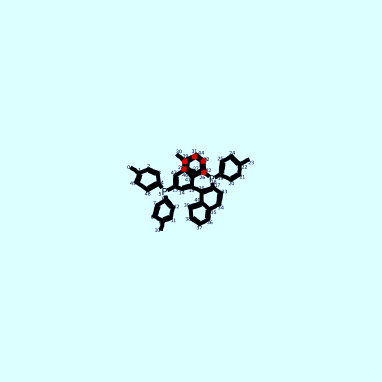 Cc1ccc(P(c2ccc(C)cc2)c2cc(-c3c(P(c4ccc(C)cc4)c4ccc(C)cc4)ccc4ccccc34)c3ccccc3c2)cc1